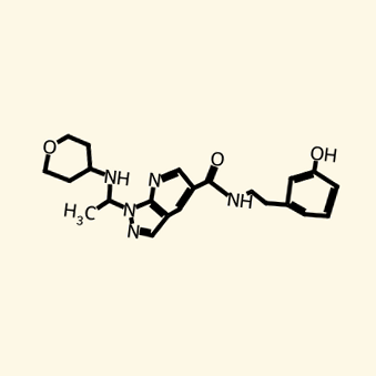 CC(NC1CCOCC1)n1ncc2cc(C(=O)NCCc3cccc(O)c3)cnc21